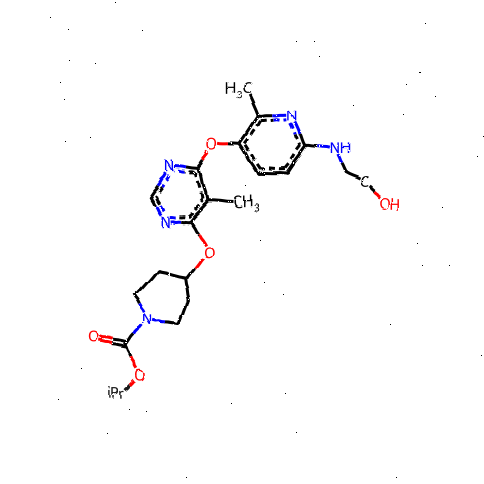 Cc1nc(NCCO)ccc1Oc1ncnc(OC2CCN(C(=O)OC(C)C)CC2)c1C